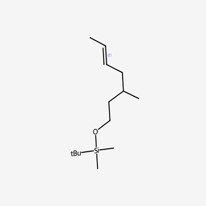 C/C=C/CC(C)CCO[Si](C)(C)C(C)(C)C